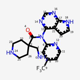 NCC1(C(=O)N(c2cc(C(F)(F)F)ccn2)c2ncnc3[nH]ccc23)CCNCC1